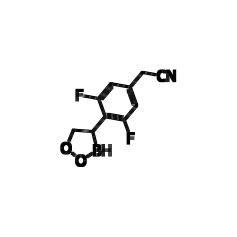 N#CCc1cc(F)c(C2BOOC2)c(F)c1